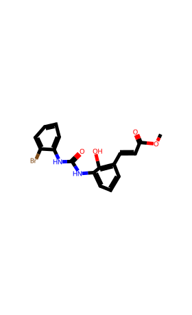 COC(=O)C=Cc1cccc(NC(=O)Nc2ccccc2Br)c1O